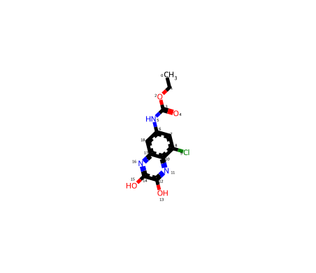 CCOC(=O)Nc1cc(Cl)c2nc(O)c(O)nc2c1